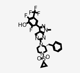 Cn1nc(-c2cc(C(F)(F)F)c(F)c(O)c2F)c2cnc(N3CCN(S(=O)(=O)C4CC4)C[C@H]3Cc3ccccc3)nc21